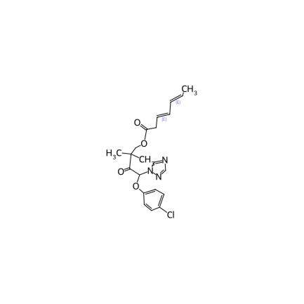 C/C=C/C=C/CC(=O)OCC(C)(C)C(=O)C(Oc1ccc(Cl)cc1)n1cncn1